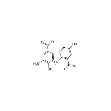 Nc1cc([N+](=O)[O-])ccc1O.Nc1ccc(O)cc1[N+](=O)[O-]